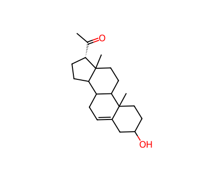 CC(=O)[C@H]1CCC2C3CC=C4CC(O)CCC4(C)C3CCC21C